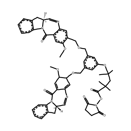 COc1cc2c(cc1COCc1cc(COC3C=C4N=C[C@@H]5Cc6ccccc6N5C(=O)C4=CC3OC)cc(OC(C)(C)CC(C)(C)C(=O)ON3C(=O)CCC3=O)c1)N=C[C@@H]1Cc3ccccc3N1C2=O